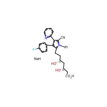 CC(C)n1c(C#N)c(-c2ccccn2)c(-c2ccc(F)cc2)c1CC[C@@H](O)C[C@@H](O)CC(=O)O.[NaH]